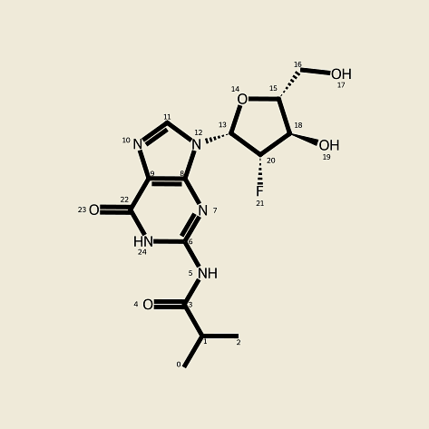 CC(C)C(=O)Nc1nc2c(ncn2[C@@H]2O[C@H](CO)[C@@H](O)[C@@H]2F)c(=O)[nH]1